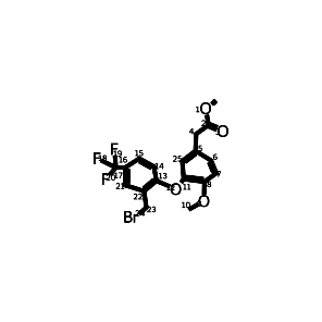 COC(=O)Cc1ccc(OC)c(Oc2ccc(C(F)(F)F)cc2CBr)c1